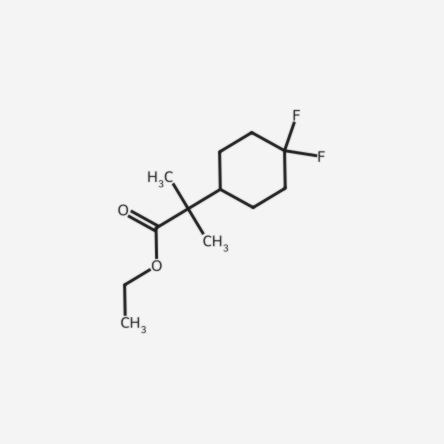 CCOC(=O)C(C)(C)C1CCC(F)(F)CC1